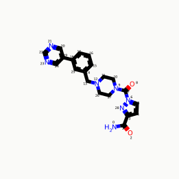 NC(=O)c1ccn(C(=O)N2CCN(Cc3cccc(-c4cncnc4)c3)CC2)n1